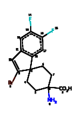 NC1(C(=O)O)CCC2(CC1)C(Br)=Cc1cc(F)c(F)cc12